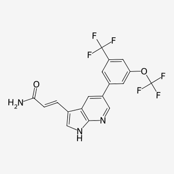 NC(=O)C=Cc1c[nH]c2ncc(-c3cc(OC(F)(F)F)cc(C(F)(F)F)c3)cc12